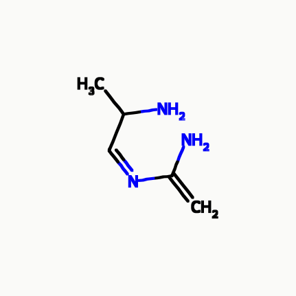 C=C(N)/N=C\C(C)N